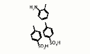 Cc1ccc(S(=O)(=O)O)cc1.Cc1ccc(S(=O)(=O)O)cc1.Cc1ccccc1N